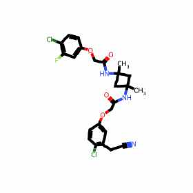 CC1(NC(=O)COc2ccc(Cl)c(F)c2)CC(C)(NC(=O)COc2ccc(Cl)c(CC#N)c2)C1